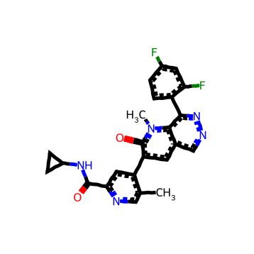 Cc1cnc(C(=O)NC2CC2)cc1-c1cc2cnnc(-c3ccc(F)cc3F)c2n(C)c1=O